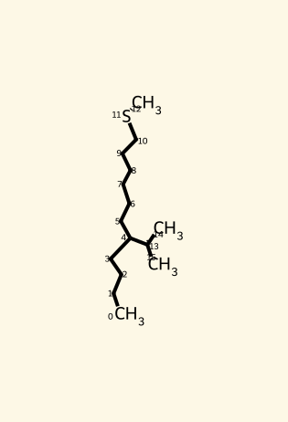 CCCCC(CCCCCCSC)[C](C)C